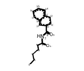 CCCCCC(=O)NC(=O)c1ccc2ccccc2c1